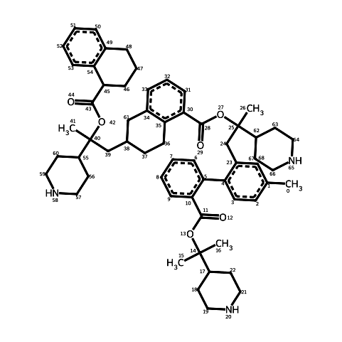 Cc1ccc(-c2ccccc2C(=O)OC(C)(C)C2CCNCC2)c(CC(C)(OC(=O)c2cccc3c2CCC(CC(C)(OC(=O)C2CCCc4ccccc42)C2CCNCC2)C3)C2CCNCC2)c1